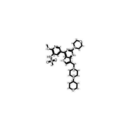 COc1ncc(-c2nc(N3CCOCC3)nc3c(CN4CCN(C5CCOCC5)CC4)csc23)cc1NS(C)(=O)=O